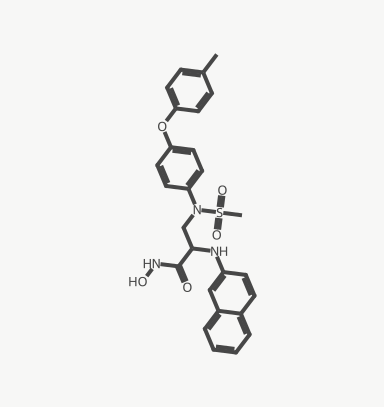 Cc1ccc(Oc2ccc(N(CC(Nc3ccc4ccccc4c3)C(=O)NO)S(C)(=O)=O)cc2)cc1